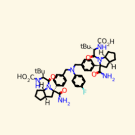 CC(C)(C)[C@H](NC(=O)O)C(=O)N1[C@H]2CCC[C@H]2C[C@@]1(C(N)=O)c1ccc(CN(Cc2ccc([C@]3(C(N)=O)C[C@@H]4CCC[C@@H]4N3C(=O)[C@@H](NC(=O)O)C(C)(C)C)cc2)c2ccc(F)cc2)cc1